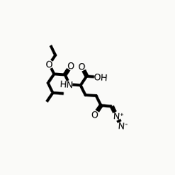 CCOC(CC(C)C)C(=O)NC(CCC(=O)C=[N+]=[N-])C(=O)O